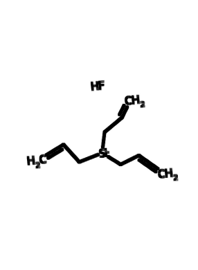 C=CC[Si](CC=C)CC=C.F